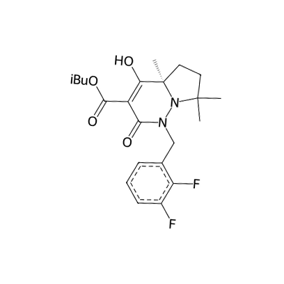 CC(C)COC(=O)C1=C(O)[C@@]2(C)CCC(C)(C)N2N(Cc2cccc(F)c2F)C1=O